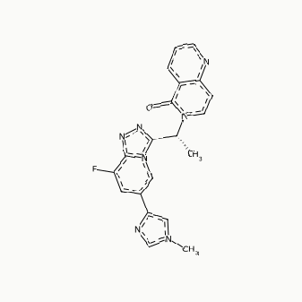 C[C@H](c1nnc2c(F)cc(-c3cn(C)cn3)cn12)n1ccc2ncccc2c1=O